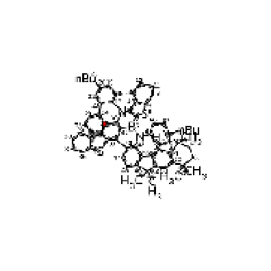 CCCCc1ccc(N2B3c4sc5ccccc5c4N(c4ccc(CCCC)cc4-c4ccccc4)c4cc5c(sc6ccccc65)c(c43)-c3ccc4c(c32)-c2cc3c(cc2C4(C)C)C(C)(C)CCC3(C)C)cc1